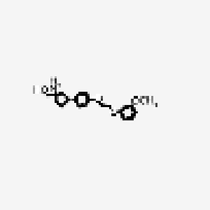 COc1cccc(OCCOc2ccc([C@@H]3CC[C@](N)(CO)C3)cc2)c1